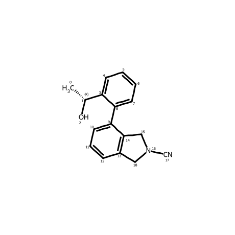 C[C@@H](O)c1ccccc1-c1cccc2c1CN(C#N)C2